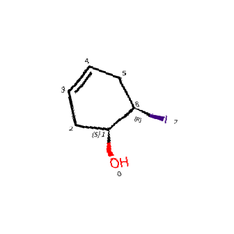 O[C@H]1CC=CC[C@H]1I